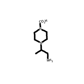 CC(CN)N1CCN(C(=O)O)CC1